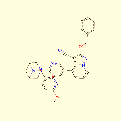 COc1ccc(CN2C3CC2CN(c2ccc(-c4cccn5nc(OCc6ccccc6)c(C#N)c45)cn2)C3)cn1